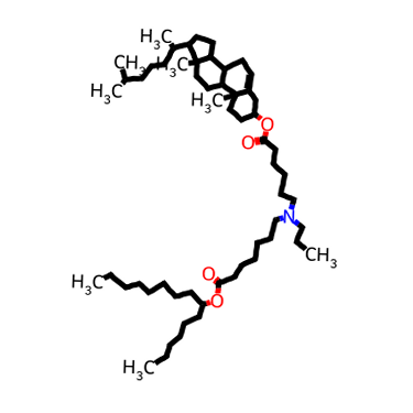 CCCCCCCCC(CCCCCC)OC(=O)CCCCCCN(CCC)CCCCCC(=O)OC1CCC2(C)C(=CCC3C2CCC2(C)C(C(C)CCCC(C)C)CCC32)C1